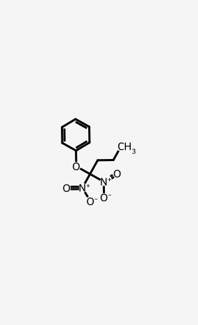 CCCC(Oc1ccccc1)([N+](=O)[O-])[N+](=O)[O-]